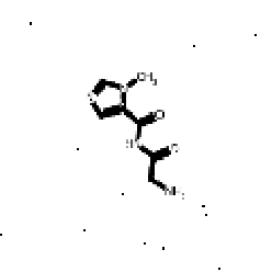 Cn1cncc1C(=O)NC(=O)CN